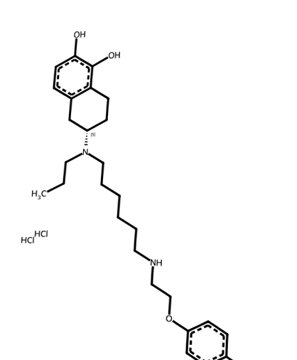 CCCN(CCCCCCNCCOc1ccc(O)cc1)[C@H]1CCc2c(ccc(O)c2O)C1.Cl.Cl